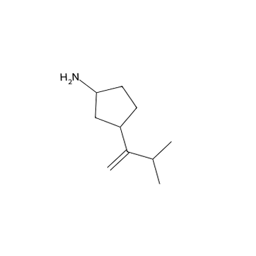 C=C(C(C)C)C1CCC(N)C1